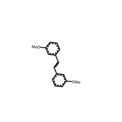 COc1cccc(C=Cc2cccc(OC)c2)c1